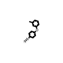 Cc1cccc(Oc2ccc([N+]#N)cc2)c1